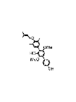 COc1cc(-c2ccc(O)cc2)c(OC)c(O)c1-c1cc(C)c(OCC=C(C)C)c(C)c1